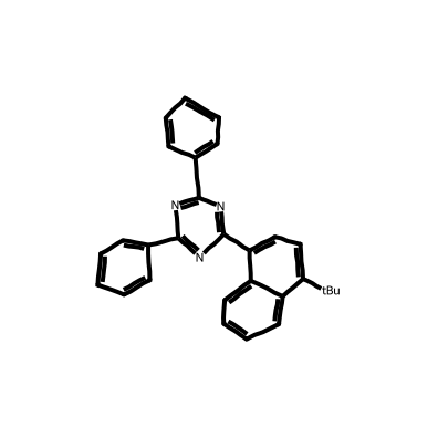 CC(C)(C)c1ccc(-c2nc(-c3ccccc3)nc(-c3ccccc3)n2)c2ccccc12